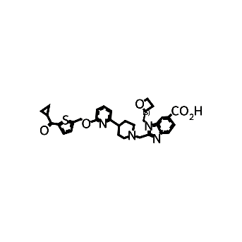 O=C(O)c1ccc2nc(CN3CCC(c4cccc(OCc5ccc(C(=O)C6CC6)s5)n4)CC3)n(C[C@@H]3CCO3)c2c1